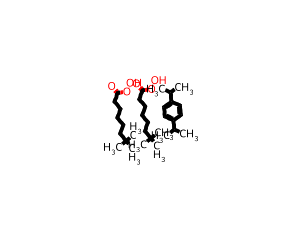 CC(C)(C)CCCCCC(=O)OO.CC(C)(C)CCCCCC(=O)OO.CC(C)c1ccc(C(C)C)cc1